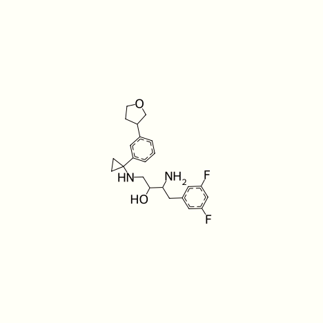 NC(Cc1cc(F)cc(F)c1)C(O)CNC1(c2cccc(C3CCOC3)c2)CC1